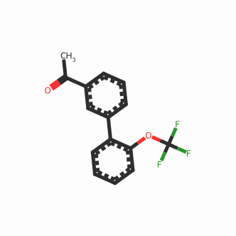 CC(=O)c1cccc(-c2ccccc2OC(F)(F)F)c1